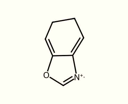 C1=[N+]C2=CCCC=C2O1